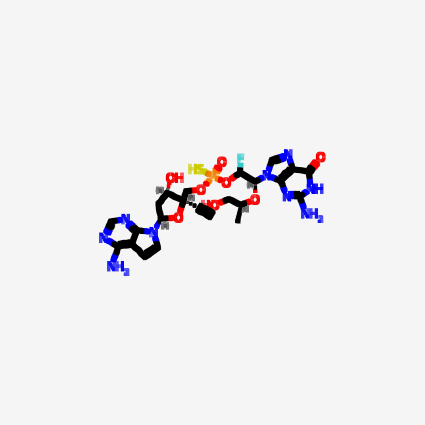 C#C[C@]1(COP(=O)(S)OC(F)[C@@H](O[C@@H](C)CO)n2cnc3c(=O)[nH]c(N)nc32)O[C@@H](n2ccc3c(N)ncnc32)C[C@@H]1O